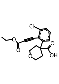 CCOC(=O)C#Cc1c(Cl)cccc1C1(C(=O)O)CCOCC1